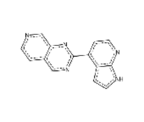 [c]1nc(-c2ccnc3[nH]ccc23)nc2cnccc12